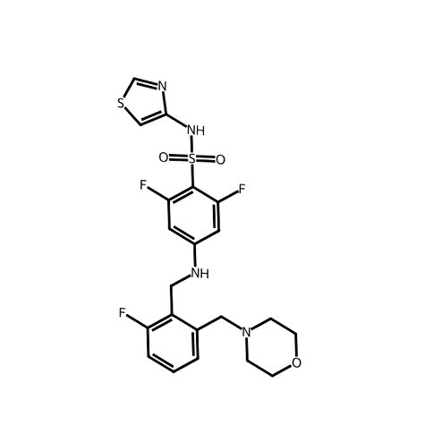 O=S(=O)(Nc1cscn1)c1c(F)cc(NCc2c(F)cccc2CN2CCOCC2)cc1F